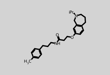 Cc1ccc(CCCNC(=O)CCOc2ccc3c(c2)CN(C(C)C)CCC3)cc1